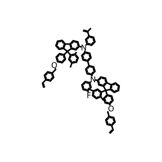 C=Cc1ccc(COc2ccc(C3(c4cc(C)ccc4C)c4ccccc4-c4ccc(N(c5ccc(-c6ccc(N(c7cccc(C(=C)C)c7)c7ccc8c(c7)C(c7ccc(OCc9ccc(C=C)cc9)cc7)(c7cc(C)ccc7C)c7ccccc7-8)cc6)cc5)c5cccc(F)c5)cc43)cc2)cc1